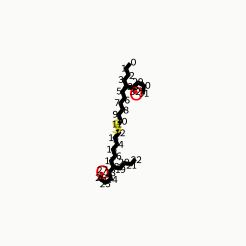 CCCCC(CCCCCCSCCCCCCC(CCCC)C1CCCO1)C1CCCO1